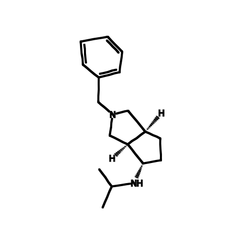 CC(C)N[C@H]1CC[C@@H]2CN(Cc3ccccc3)C[C@@H]21